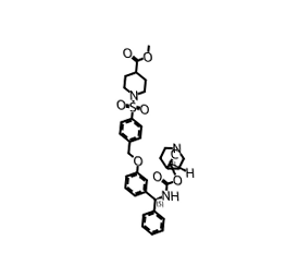 COC(=O)C1CCN(S(=O)(=O)c2ccc(COc3cccc([C@@H](NC(=O)O[C@H]4CN5CCC4CC5)c4ccccc4)c3)cc2)CC1